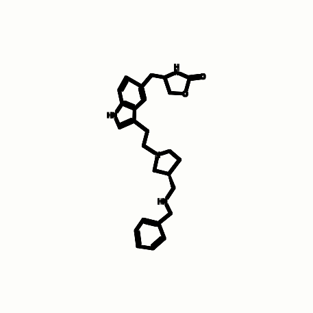 O=C1NC(Cc2ccc3[nH]cc(CCN4CC[C@@H](CNCc5ccccc5)C4)c3c2)CO1